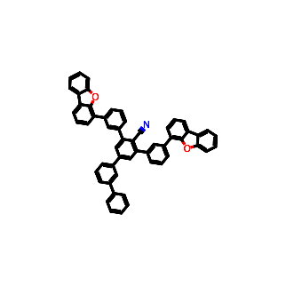 N#Cc1c(-c2cccc(-c3cccc4c3oc3ccccc34)c2)cc(-c2cccc(-c3ccccc3)c2)cc1-c1cccc(-c2cccc3c2oc2ccccc23)c1